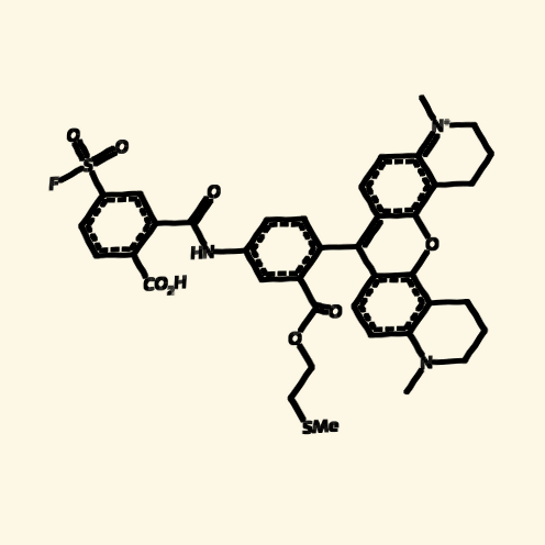 CSCCOC(=O)c1cc(NC(=O)c2cc(S(=O)(=O)F)ccc2C(=O)O)ccc1C1=c2ccc3c(c2Oc2c1ccc1c2CCCN1C)CCC[N+]=3C